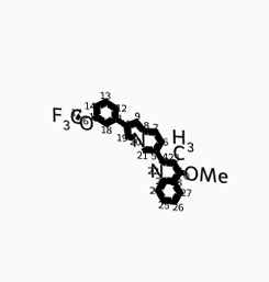 COc1c(C)c(-c2ccc3cc(-c4cccc(OC(F)(F)F)c4)cn3c2)nc2ccccc12